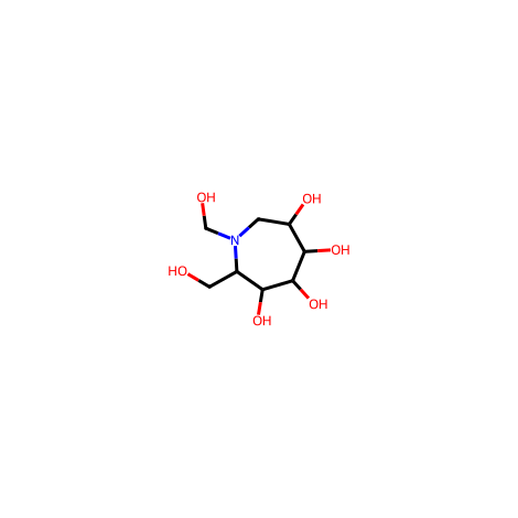 OCC1C(O)C(O)C(O)C(O)CN1CO